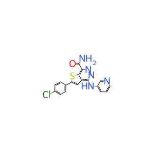 NC(=O)c1nnc(Nc2cccnc2)c2cc(-c3ccc(Cl)cc3)sc12